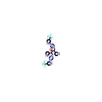 O=C(C(CN1CCN(c2cc(C(F)(F)F)ccn2)CC1)c1cccnc1)C(CN1CCN(c2cc(C(F)(F)F)ccn2)CC1)c1cccnc1